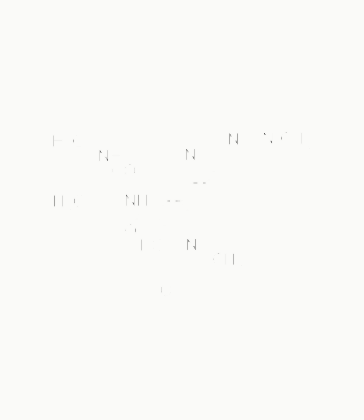 CCN(c1cc(-c2ccc(CN3CCN(C)CC3)nc2)cc(C(=O)NCC2C(=O)NC(C)CC2C)c1C)C1CCOCC1